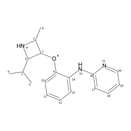 CC(C)C1NC(C)C1Oc1ccccc1Nc1ccccn1